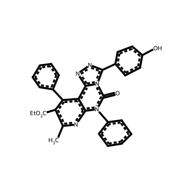 CCOC(=O)c1c(C)nc2c(c1-c1ccccc1)c1nnc(-c3ccc(O)cc3)n1c(=O)n2-c1ccccc1